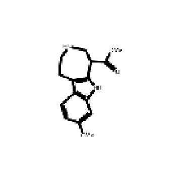 COC(=O)C1CNCCc2c1[nH]c1cc(OC)ccc21